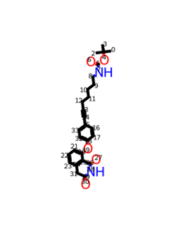 CC(C)(C)OC(=O)NCCCCCC#Cc1ccc(Oc2cccc3c2C(=O)NC(=O)C3)cc1